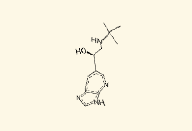 CC(C)(C)NC[C@H](O)c1cnc2[nH]cnc2c1